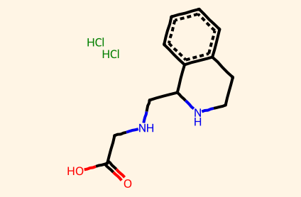 Cl.Cl.O=C(O)CNCC1NCCc2ccccc21